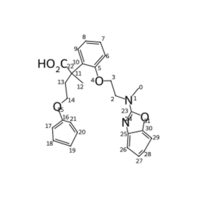 CN(CCOc1ccccc1C(C)(CCOc1ccccc1)C(=O)O)c1nc2ccccc2o1